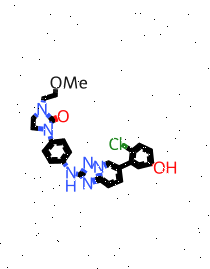 COCCN1CCN(c2ccc(Nc3nc4ccc(-c5cc(O)ccc5Cl)cn4n3)cc2)C1=O